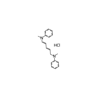 CN(C=CC=CCN(C)c1ccccc1)c1ccccc1.Cl